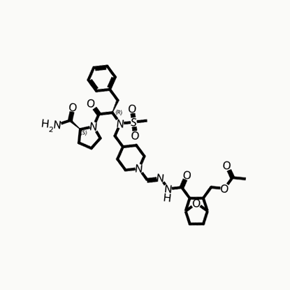 CC(=O)OCC1C2CCC(O2)C1C(=O)NN=CN1CCC(CN([C@H](Cc2ccccc2)C(=O)N2CCC[C@H]2C(N)=O)S(C)(=O)=O)CC1